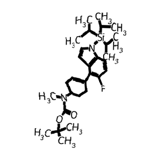 CC(C)[Si](C(C)C)(C(C)C)n1ccc2c(C3=CCC(N(C)C(=O)OC(C)(C)C)CC3)c(F)ccc21